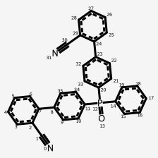 N#Cc1ccccc1-c1ccc(P(=O)(c2ccccc2)c2ccc(-c3ccccc3C#N)cc2)cc1